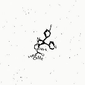 CONC(=O)N1CCn2nc(-c3ccc(F)cc3)c(-c3ccncc3)c2N1